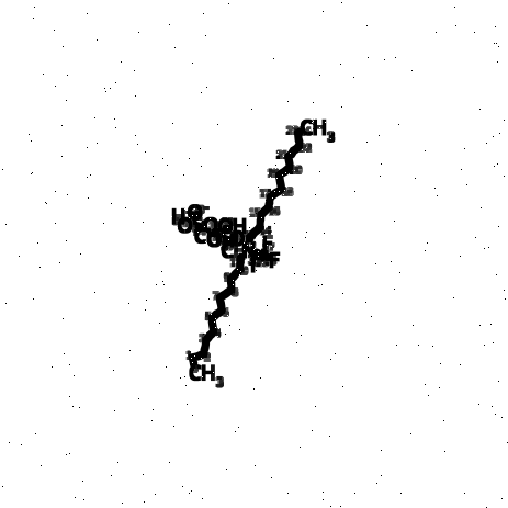 CCCCCCCCCCCCN(CCCCCCCCCCCC)C(F)(F)F.CS(=O)(=O)O.CS(=O)(=O)[O-].[H+]